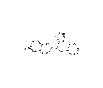 O=c1ccc2cc(C(Cc3ccccc3)n3ccnc3)ccc2[nH]1